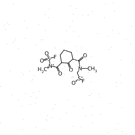 C=[N+](C(=O)C1CCCC(C(=O)N(C)C[S+]([O-])F)C1=O)S(=O)(=O)F